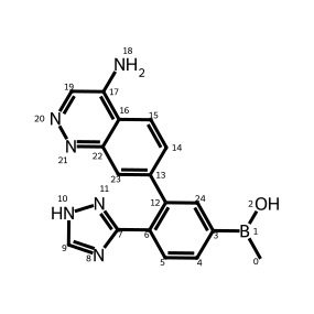 CB(O)c1ccc(-c2nc[nH]n2)c(-c2ccc3c(N)cnnc3c2)c1